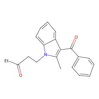 CCC(=O)CCn1c(C)c(C(=O)c2ccccc2)c2ccccc21